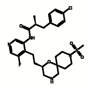 C[C@@H](Cc1ccc(Cl)cc1)C(=O)Nc1cncc(F)c1CC[C@@H]1CNCC2(CCN(S(C)(=O)=O)CC2)O1